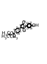 CC(C)(C)OC(=O)N1CCN([C@H]2CC(=O)N(c3ccc(O)cc3)C2=O)CC1